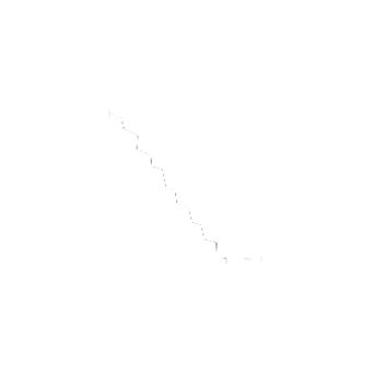 CCCCCOCCCCCCCCCCCCCCCF